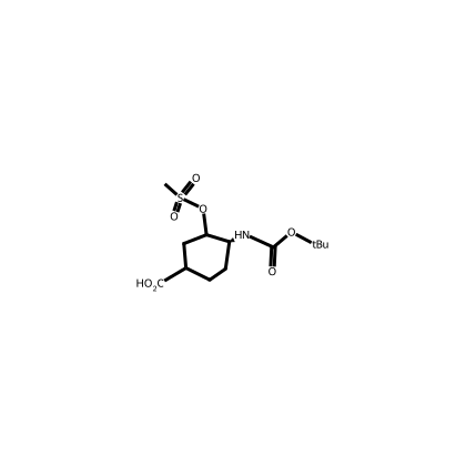 CC(C)(C)OC(=O)N[C@H]1CCC(C(=O)O)CC1OS(C)(=O)=O